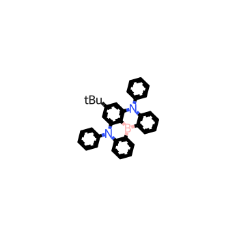 CC(C)(C)c1cc2c3c(c1)N(c1ccccc1)c1ccccc1B3c1ccccc1N2c1ccccc1